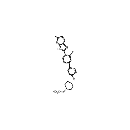 Cc1ccc2nc(-c3ccc(-c4ccc(O[C@H]5CC[C@H](CC(=O)O)CC5)nc4)cc3F)[nH]c2n1